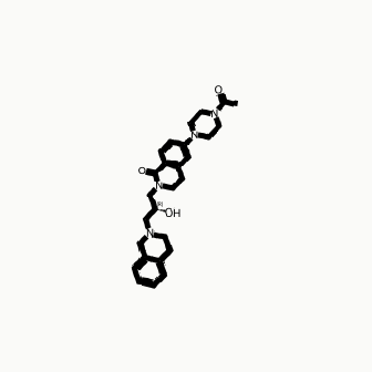 CC(=O)N1CCN(c2ccc3c(c2)CCN(C[C@H](O)CN2CCc4ccccc4C2)C3=O)CC1